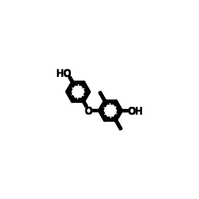 Cc1cc(Oc2ccc(O)cc2)c(C)cc1O